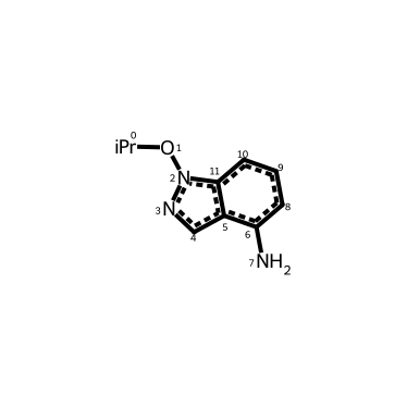 CC(C)On1ncc2c(N)cccc21